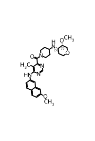 COc1ccc2ccc(Nc3ncnc(C(=O)N4CCC(N[C@H]5CCOC[C@H]5OC)CC4)c3C)cc2c1